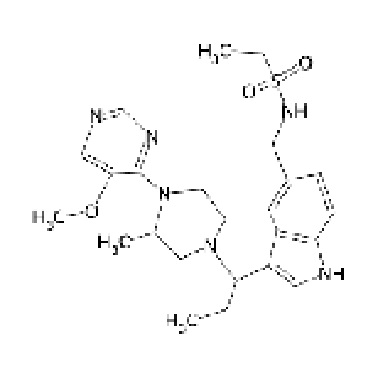 CCC(c1c[nH]c2ccc(CNS(=O)(=O)CC)cc12)N1CCN(c2ncncc2OC)C(C)C1